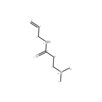 C=CCNC(=O)CCN(C)C